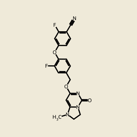 CN1CCn2c1cc(OCc1ccc(Oc3ccc(C#N)c(F)c3)c(F)c1)nc2=O